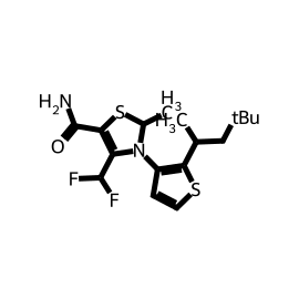 CC(CC(C)(C)C)c1sccc1N1C(C(F)F)=C(C(N)=O)SC1C